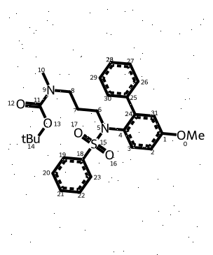 COc1ccc(N(CCCN(C)C(=O)OC(C)(C)C)S(=O)(=O)c2ccccc2)c(-c2ccccc2)c1